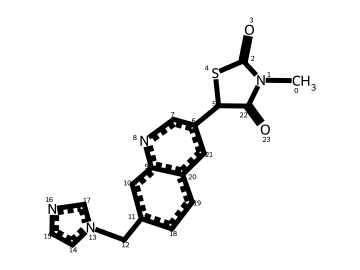 CN1C(=O)SC(c2cnc3cc(Cn4ccnc4)ccc3c2)C1=O